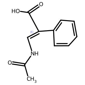 CC(=O)N/C=C(/C(=O)O)c1ccccc1